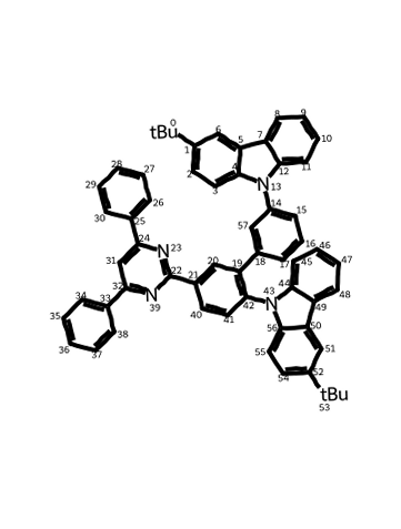 CC(C)(C)c1ccc2c(c1)c1ccccc1n2-c1cccc(-c2cc(-c3nc(-c4ccccc4)cc(-c4ccccc4)n3)ccc2-n2c3ccccc3c3cc(C(C)(C)C)ccc32)c1